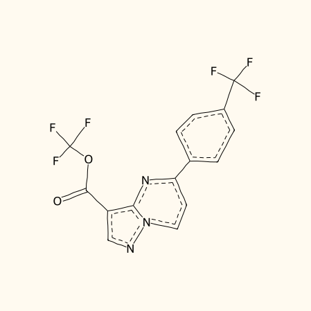 O=C(OC(F)(F)F)c1cnn2ccc(-c3ccc(C(F)(F)F)cc3)nc12